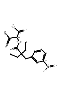 CCC(CC)(Cc1cccc([N+](=O)[O-])c1)C(=O)NC(C(=O)O)C(=O)O